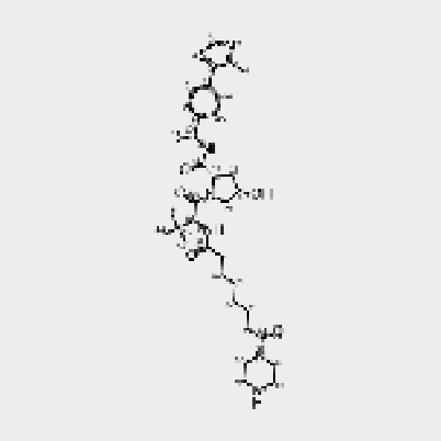 Cc1ncsc1-c1ccc([C@H](C)NC(=O)[C@@H]2C[C@@H](O)CN2C(=O)C(NC(=O)CCCCCCC(=O)N2CCNCC2)C(C)(C)C)cc1